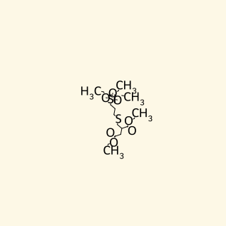 CCOC(=O)CC(CSCCC[Si](OCC)(OCC)OCC)C(=O)OCC